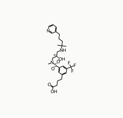 CN(C[C@H](O)CNC(C)(C)CCCc1cccnc1)S(=O)(=O)c1cc(CCCC(=O)O)cc(C(F)(F)F)c1